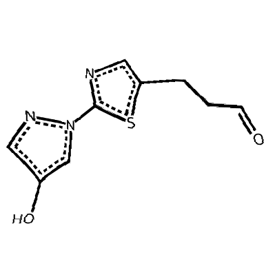 O=CCCc1cnc(-n2cc(O)cn2)s1